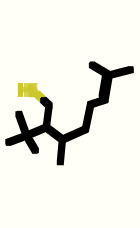 CC(C)=CCCC(C)C(CS)C(C)(C)C